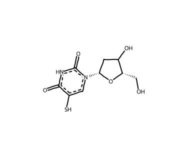 O=c1[nH]c(=O)n([C@@H]2CC(O)[C@H](CO)O2)cc1S